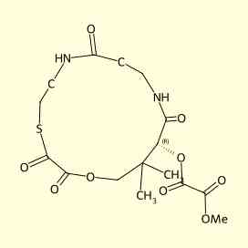 COC(=O)C(=O)O[C@H]1C(=O)NCCC(=O)NCCSC(=O)C(=O)OCC1(C)C